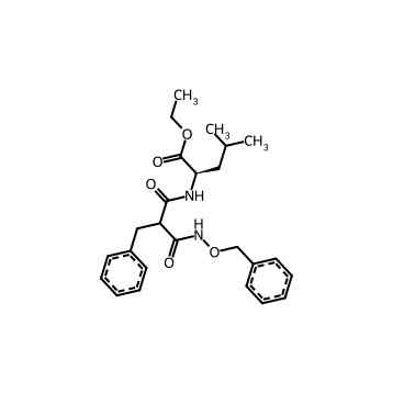 CCOC(=O)[C@@H](CC(C)C)NC(=O)C(Cc1ccccc1)C(=O)NOCc1ccccc1